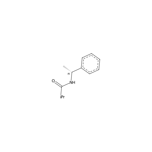 CC(C)C(=O)N[C@H](C)c1ccccc1